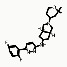 CC1(C)CC(N2C[C@H]3CC(Nc4ccc(-c5cc(F)ccc5F)nn4)C[C@H]3C2)CCO1